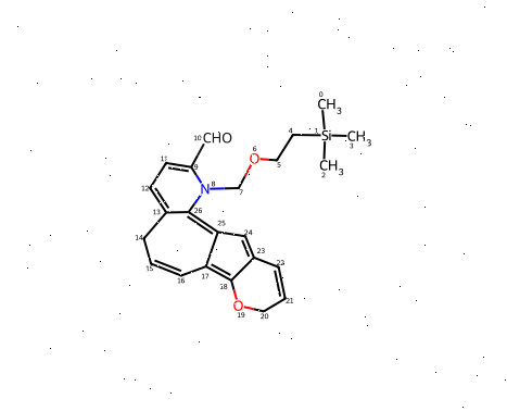 C[Si](C)(C)CCOCN1C(C=O)=CC=C2CC=CC3=C4OCC=CC4=CC3=C21